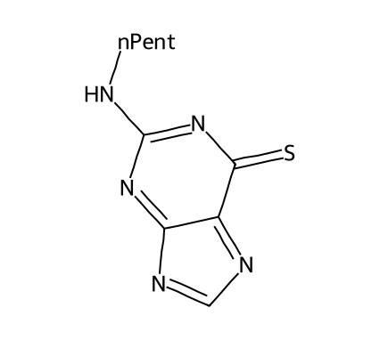 CCCCCNC1=NC(=S)C2=NC=NC2=N1